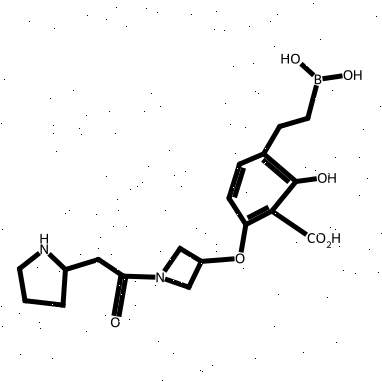 O=C(O)c1c(OC2CN(C(=O)CC3CCCN3)C2)ccc(CCB(O)O)c1O